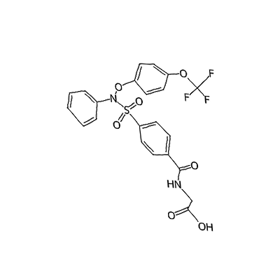 O=C(O)CNC(=O)c1ccc(S(=O)(=O)N(Oc2ccc(OC(F)(F)F)cc2)c2ccccc2)cc1